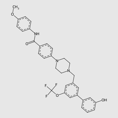 COc1ccc(NC(=O)c2ccc(N3CCN(Cc4cc(OC(F)(F)F)cc(-c5cccc(O)c5)c4)CC3)cc2)cc1